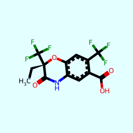 CC[C@@]1(C(F)(F)F)Oc2cc(C(F)(F)F)c(C(=O)O)cc2NC1=O